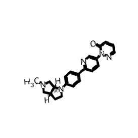 CN1C[C@H]2CCN(c3ccc(-c4ccc(-n5ncccc5=O)cn4)cc3)[C@H]2C1